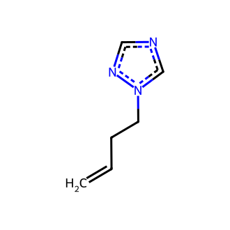 C=CCCn1cncn1